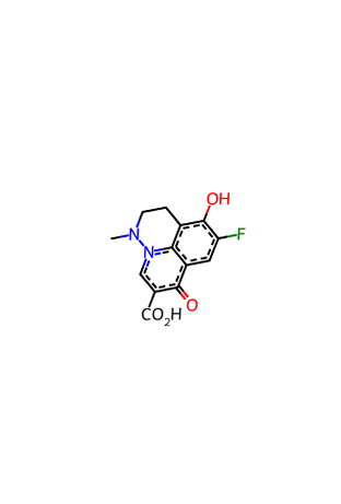 CN1CCc2c(O)c(F)cc3c(=O)c(C(=O)O)cn1c23